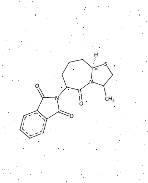 CC1CS[C@@H]2CCCC(N3C(=O)c4ccccc4C3=O)C(=O)N12